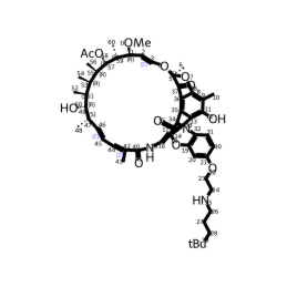 CO[C@H]1/C=C/O[C@@]2(C)Oc3c(C)c(O)c4c(=O)c(c5oc6cc(OCCNCCCC(C)(C)C)ccc6nc-5c4c3C2=O)NC(=O)/C(C)=C\C=C\[C@H](C)[C@H](O)[C@@H](C)[C@@H](C)[C@@H](C)[C@H](OC(C)=O)[C@@H]1C